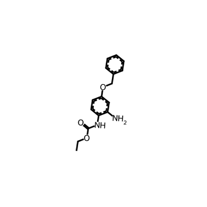 CCOC(=O)Nc1ccc(OCc2ccccc2)cc1N